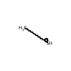 CCCCCCCCCCCCCCCCc1cc[c]c(S)c1